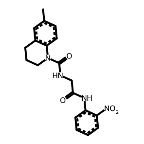 Cc1ccc2c(c1)CCCN2C(=O)NCC(=O)Nc1ccccc1[N+](=O)[O-]